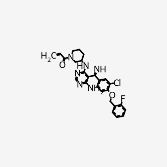 C=CC(=O)N1CCC[C@@H](Nc2ncnc(N)c2C(=N)c2ccc(OCc3ccccc3F)c(Cl)c2)C1